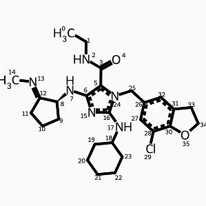 CCNC(=O)c1c(N[C@H]2CCC/C2=N\C)nc(NC2CCCCC2)n1Cc1cc(Cl)c2c(c1)CCO2